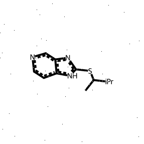 CC(C)C(C)Sc1nc2cnccc2[nH]1